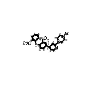 CCOc1ccccc1Sc1ccc(-c2ccnc(N3CCN(C(C)=O)CC3)c2)cc1[N+](=O)[O-]